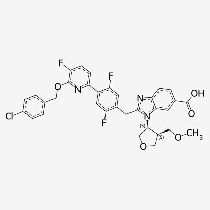 COC[C@H]1COC[C@H]1n1c(Cc2cc(F)c(-c3ccc(F)c(OCc4ccc(Cl)cc4)n3)cc2F)nc2ccc(C(=O)O)cc21